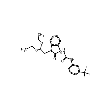 CCOC(CN1C(=O)[C@@H](NC(=O)Nc2cccc(C(F)(F)F)c2)c2ccccc21)OCC